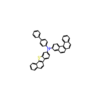 c1ccc(-c2ccc(N(c3ccc4c(ccc5ccc6ccccc6c54)c3)c3ccc4c(c3)sc3c5ccccc5ccc43)cc2)cc1